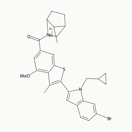 COc1cc(C(=O)N2CC3CCC2[C@@H]3C)cc2sc(-c3cc4ccc(Br)cc4n3CC3CC3)c(C)c12